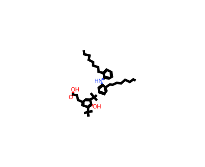 CC(C)(C)c1cc(CCC(=O)O)cc(C(C)(C)C)c1O.CCCCCCCCc1ccccc1Nc1ccccc1CCCCCCCC